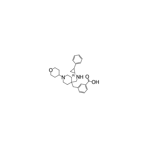 O=C(O)c1cccc(CC2(CN[C@@H]3CC3c3ccccc3)CCN(C3CCOCC3)CC2)c1